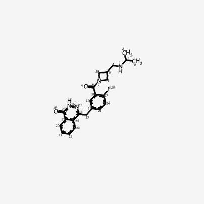 CC(C)NCC1CN(C(=O)c2cc(Cc3n[nH]c(=O)c4ccccc34)ccc2F)C1